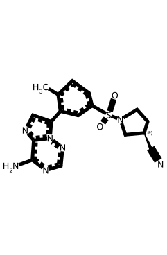 Cc1ccc(S(=O)(=O)N2CC[C@@H](C#N)C2)cc1-c1cnc2c(N)ncnn12